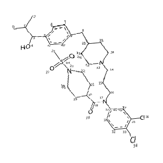 CC(C)C(O)c1ccc(CC2CCN(CCCN(C(=O)C3CCN(S(C)(=O)=O)CC3)c3ccc(Cl)c(Cl)c3)CC2)cc1